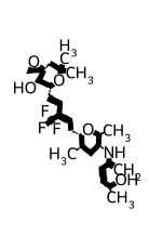 C=C(/C=C\[C@@H](C)O)N[C@@H]1C[C@H](C)[C@H](C/C=C(/C=C/[C@H]2OC(C)(C)C[C@@]3(CO3)[C@@H]2O)C(F)(F)F)O[C@@H]1C